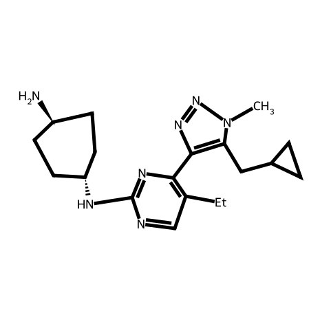 CCc1cnc(N[C@H]2CC[C@H](N)CC2)nc1-c1nnn(C)c1CC1CC1